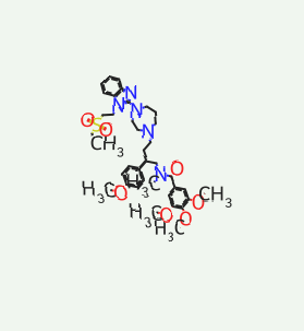 CCS(=O)(=O)CCn1c(N2CCCN(CCC(CN(C)C(=O)c3cc(OC)c(OC)c(OC)c3)c3ccc(OC)cc3)CC2)nc2ccccc21